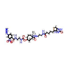 CC1(C(=O)NCCCNC(=O)CCCCC2SCC3NC(=O)NC32)C/C=C/C(OC(=O)NCCNC(=O)c2ccc(N=[N+]=[N-])cc2[N+](=O)[O-])CCC1